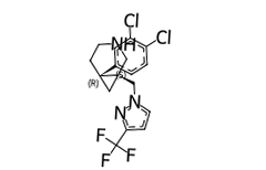 FC(F)(F)c1ccn(C[C@]23CNCC[C@@]2(c2ccc(Cl)c(Cl)c2)C3)n1